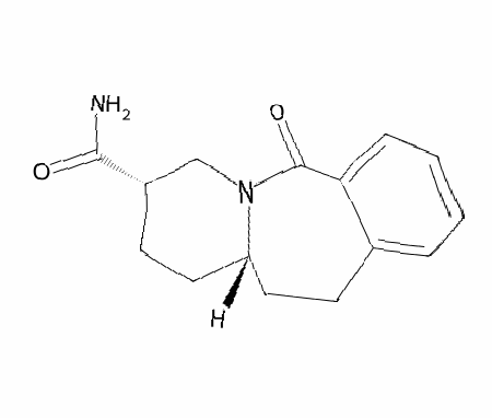 NC(=O)[C@H]1CC[C@H]2CCc3ccccc3C(=O)N2C1